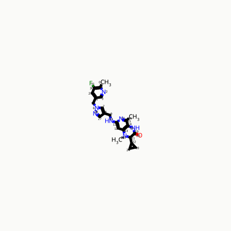 Cc1ncc(Cn2cc(CNc3cc4c(c(C)n3)NC(=O)C(C3CC3)N4C)cn2)cc1F